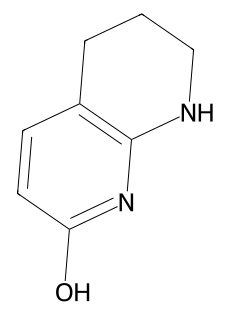 Oc1ccc2c(n1)NCCC2